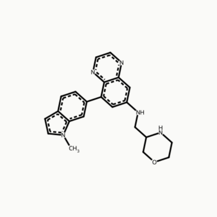 Cn1ccc2ccc(-c3cc(NCC4COCCN4)cc4nccnc34)cc21